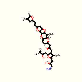 C=C1CC(CCC2CC3OC4C(OC5CCC(CC(=O)CC6[C@@H](OC)C(CC(O)CN)O[C@H]6CC(O)C(=C)[C@H](C)CC)O[C@@H]5C4OC)C3O2)OC1CC